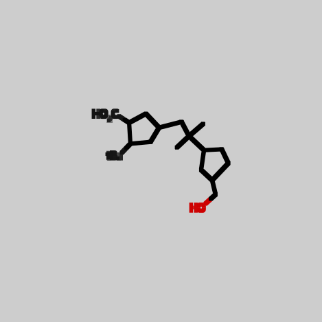 CC(C)(C)C1CC(CC(C)(C)C2CCC(CO)C2)CC1C(=O)O